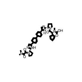 CN(C)C(=O)C(=O)N1CCC[C@H]1c1ncc(-c2ccc(-c3ccc(-c4cnc([C@@H]5CCCN5C(=O)[C@@H](c5ccccc5)N(C)C(=O)O)[nH]4)cc3)cc2)[nH]1